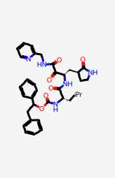 CC(C)C[C@H](NC(=O)OC(Cc1ccccc1)c1ccccc1)C(=O)N[C@@H](C[C@@H]1CCNC1=O)C(=O)C(=O)NCc1ccccn1